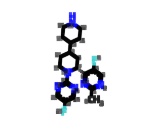 Cc1ncc(F)c([C@H]2CC(C3CCNCC3)CCN2c2ncc(F)cn2)n1